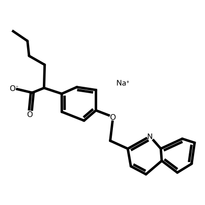 CCCCC(C(=O)[O-])c1ccc(OCc2ccc3ccccc3n2)cc1.[Na+]